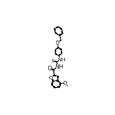 COc1cccc2oc(C(=O)NC(=S)Nc3ccc(OCc4ccccc4)cc3)cc12